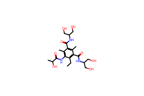 CCc1c(NC(=O)C(C)O)c(C)c(C(=O)NC(CO)CO)c(C)c1C(=O)NC(CO)CO